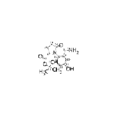 CC(C)(C)OC=O.NCc1cc(O)ccc1N1CCCC1=O